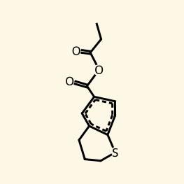 CCC(=O)OC(=O)c1ccc2c(c1)CCCS2